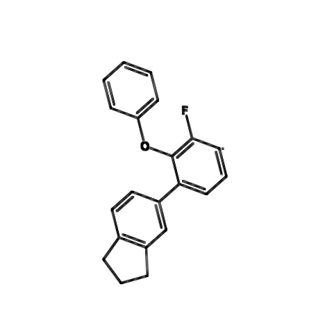 Fc1[c]ccc(-c2ccc3c(c2)CCC3)c1Oc1ccccc1